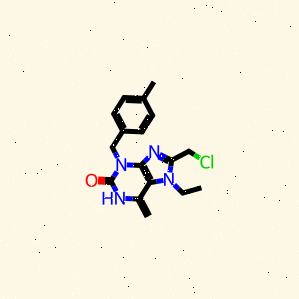 C=C1NC(=O)N(Cc2ccc(C)cc2)c2nc(CCl)n(CC)c21